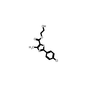 Cc1nc(-c2ccc(Cl)cc2)sc1C(=O)OCCO